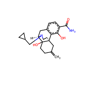 C=C1CCC2(O)[C@H]3Cc4ccc(C(N)=O)c(O)c4[C@@]2(CCN3CC2CC2)C1